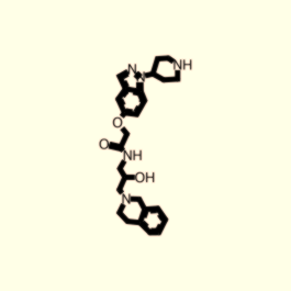 O=C(COc1ccc2c(cnn2C2CCNCC2)c1)NCC(O)CN1CCc2ccccc2C1